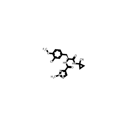 Cn1ncc(C(=O)N[C@@H](Cc2ccc(OC(F)(F)F)c(Cl)c2)C(=O)NC2(C#N)CC2)n1